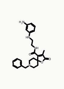 CC1=C(C(=O)NCCNc2cccc(N)c2)C2(CCN(Cc3ccccc3)CC2)OC1=O